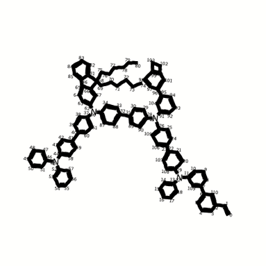 C=Cc1cccc(-c2cccc(N(c3ccccc3)c3ccc(-c4ccc(N(c5ccc(-c6ccc(N(c7ccc(-c8ccc(N(c9ccccc9)c9ccccc9)cc8)cc7)c7ccc8c(c7)C(CCCCCC)(CCCCCC)c7ccccc7-8)cc6)cc5)c5cccc(-c6ccc7c(c6)CC7)c5)cc4)cc3)c2)c1